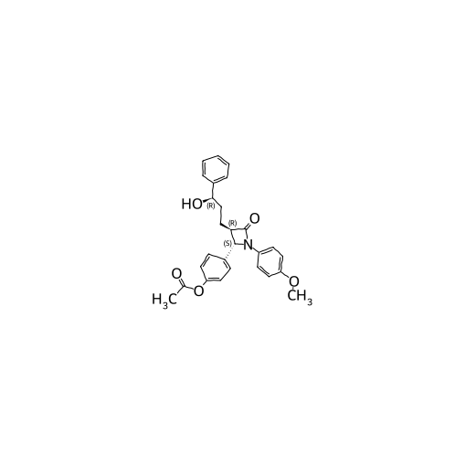 COc1ccc(N2C(=O)[C@H](CC[C@@H](O)c3ccccc3)[C@H]2c2ccc(OC(C)=O)cc2)cc1